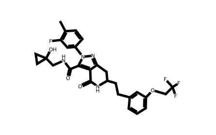 Cc1ccc(-n2nc3c(c2C(=O)NCC2(O)CC2)C(=O)NC(CCc2cccc(OCC(F)(F)F)c2)C3)cc1F